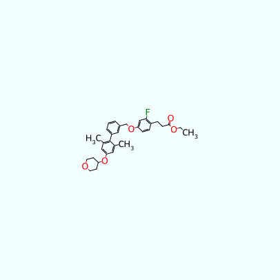 CCOC(=O)CCc1ccc(OCc2cccc(-c3c(C)cc(OC4CCOCC4)cc3C)c2)cc1F